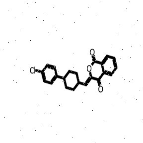 O=C1OC(=CC2CCC(c3ccc(Cl)cc3)CC2)C(=O)c2ccccc21